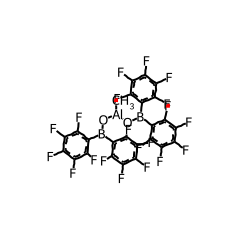 [CH3][Al]([O]B(c1c(F)c(F)c(F)c(F)c1F)c1c(F)c(F)c(F)c(F)c1F)[O]B(c1c(F)c(F)c(F)c(F)c1F)c1c(F)c(F)c(F)c(F)c1F